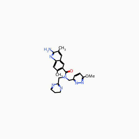 COc1ccc(CN(CC2=NCCC=N2)C(=O)c2cc3cc(C)c(N)nc3cc2C)nn1